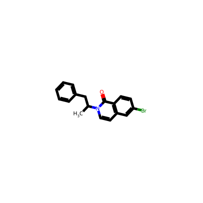 CC(Cc1ccccc1)n1ccc2cc(Br)ccc2c1=O